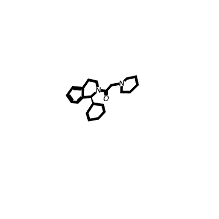 O=C(CN1CCCCC1)N1CCc2ccccc2[C@@H]1C1CCCCC1